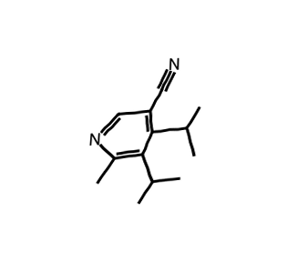 Cc1ncc(C#N)c(C(C)C)c1C(C)C